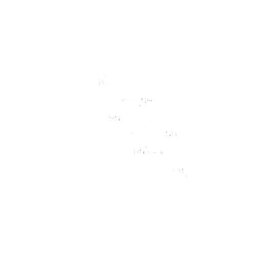 C=C1NC2NC(=C)NC2N1